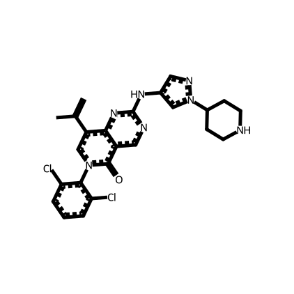 C=C(C)c1cn(-c2c(Cl)cccc2Cl)c(=O)c2cnc(Nc3cnn(C4CCNCC4)c3)nc12